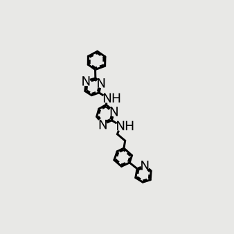 c1ccc(-c2nccc(Nc3ccnc(NCCc4cccc(-c5ccccn5)c4)n3)n2)cc1